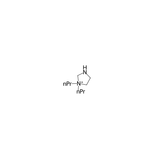 CCC[N+]1(CCC)CCNC1